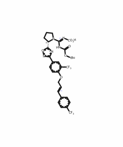 CC(C)(C)OC(=O)N/C(=N\C(=O)O)N1CCC[C@H]1c1nc(-c2ccc(OC/C=C/c3ccc(C(F)(F)F)cc3)c(C(F)(F)F)c2)no1